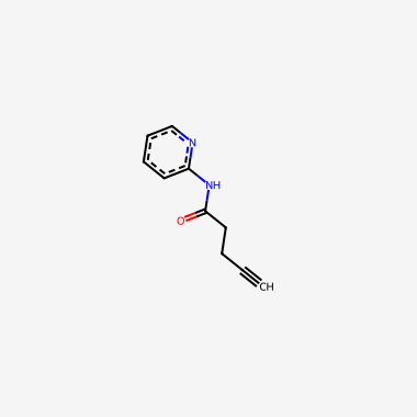 C#CCCC(=O)Nc1ccccn1